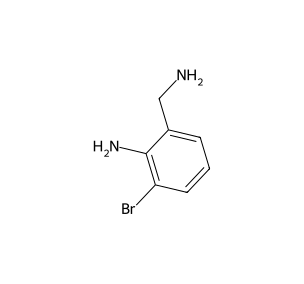 NCc1cccc(Br)c1N